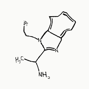 CC(C)Cn1c(C(C)N)nc2ccccc21